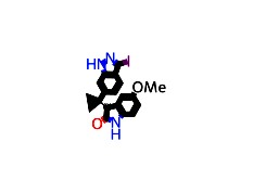 COc1ccc2c(c1)[C@@H](C1(c3ccc4c(I)n[nH]c4c3)CC1)C(=O)N2